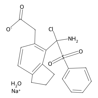 NC(Cl)(c1c(CC(=O)[O-])ccc2c1CCC2)S(=O)(=O)c1ccccc1.O.[Na+]